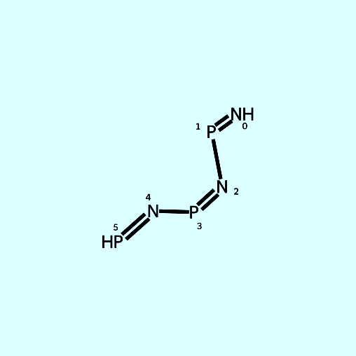 N=P/N=P\N=P